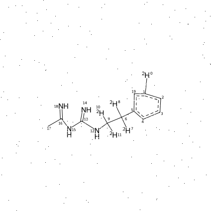 [2H]c1cccc(C([2H])([2H])C([2H])([2H])NC(=N)NC(C)=N)c1